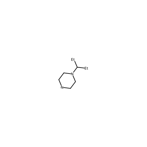 CCC(CC)N1CC[N]CC1